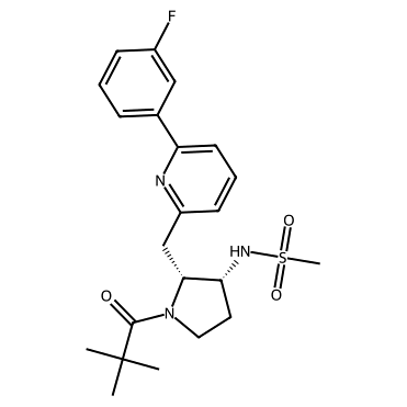 CC(C)(C)C(=O)N1CC[C@@H](NS(C)(=O)=O)[C@H]1Cc1cccc(-c2cccc(F)c2)n1